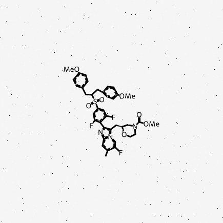 COC(=O)N1CCO[C@@H](Cc2c(-c3c(F)cc(S(=O)(=O)C(Cc4ccc(OC)cc4)Cc4ccc(OC)cc4)cc3F)nc3cc(C)c(F)cn23)C1